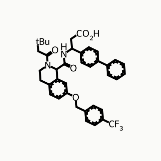 CC(C)(C)CC(=O)N1CCc2ccc(OCc3ccc(C(F)(F)F)cc3)cc2C1C(=O)NC(CC(=O)O)c1ccc(-c2ccccc2)cc1